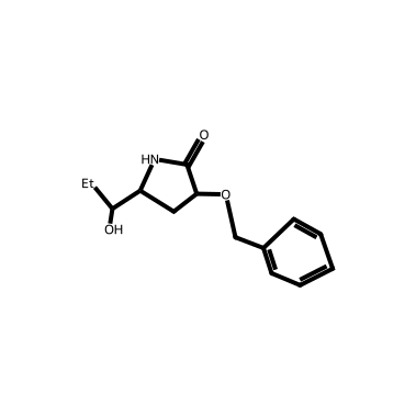 CCC(O)C1CC(OCc2ccccc2)C(=O)N1